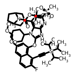 COCOc1cc(Oc2nc3nc(S(C)(=O)=O)nc(N4CC5CCC(C4)N5C(=O)OC(C)(C)C)c3n2C2CCCOC2)c2c(C#C[Si](C(C)C)(C(C)C)C(C)C)c(F)ccc2c1